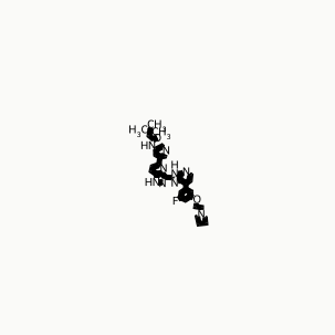 CC(C)(C)CC(=O)Nc1cncc(-c2ccc3[nH]nc(-c4nc5c(-c6cc(F)cc(OCCN7CCCC7)c6)ccnc5[nH]4)c3n2)c1